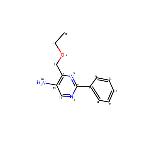 CCOCc1nc(-c2ccccc2)ncc1N